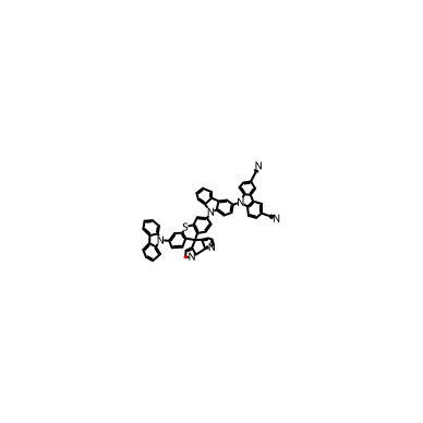 N#Cc1ccc2c(c1)c1cc(C#N)ccc1n2-c1ccc2c(c1)c1ccccc1n2-c1ccc2c(c1)Sc1cc(-n3c4ccccc4c4ccccc43)ccc1C21c2cccnc2-c2ncccc21